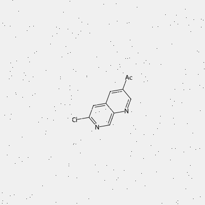 CC(=O)c1cnc2cnc(Cl)cc2c1